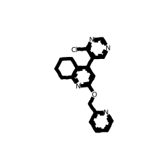 Clc1ncncc1-c1cc(OCc2ccccn2)nc2c1CCCC2